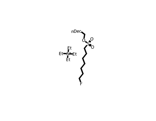 CCCCCCCCCCCOS(=O)(=O)CCCCCCCF.CC[N+](CC)(CC)CC